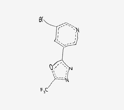 FC(F)(F)c1nnc(-c2cncc(Br)c2)o1